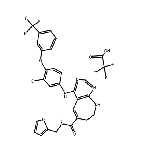 O=C(NCc1ccco1)C1=Cc2c(ncnc2Nc2ccc(Oc3cccc(C(F)(F)F)c3)c(Cl)c2)NCC1.O=C(O)C(F)(F)F